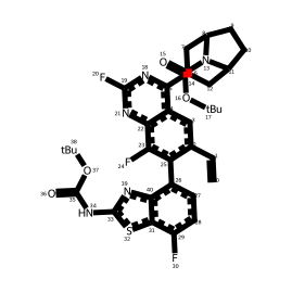 C=Cc1cc2c(N3CC4CCC(C3)N4C(=O)OC(C)(C)C)nc(F)nc2c(F)c1-c1ccc(F)c2sc(NC(=O)OC(C)(C)C)nc12